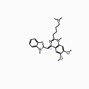 COc1cc2c(cc1OC)N(C)C(CCCCN(C)C)=N/C2=C\c1sc2ccccc2[n+]1C